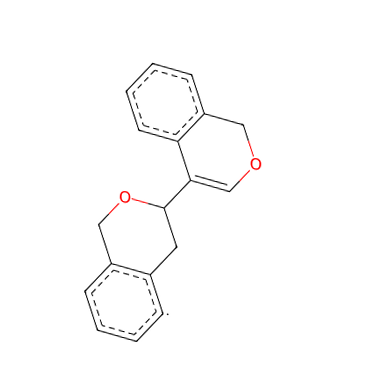 [c]1cccc2c1CC(C1=COCc3ccccc31)OC2